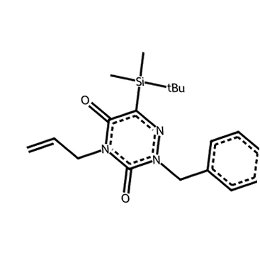 C=CCn1c(=O)c([Si](C)(C)C(C)(C)C)nn(Cc2ccccc2)c1=O